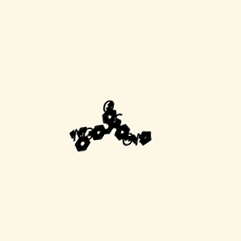 CCN(CC)[C@@H]1CCCC[C@H]1Oc1ccc(Cc2c(-c3ccc(OCCN4CCCC4)cc3)sc3cc(OC)ccc23)cc1